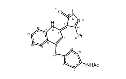 CC(=O)Nc1ccc(SC2=C/C(=C3/C(=O)NN=C3C(C)C)Nc3ccccc32)cc1